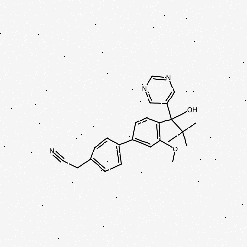 COc1cc(-c2ccc(CC#N)cc2)ccc1C(O)(c1cncnc1)C(C)(C)C